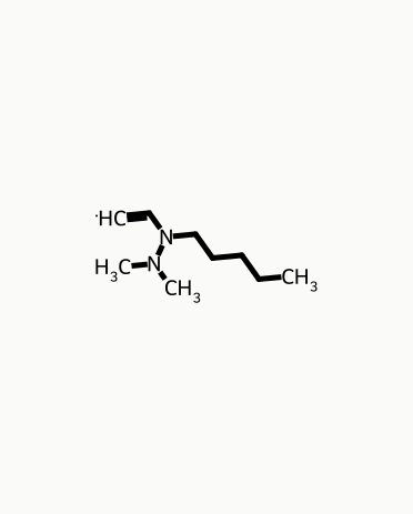 [CH]=CN(CCCCC)N(C)C